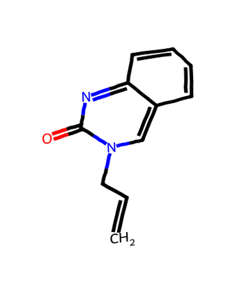 C=CCn1cc2ccccc2nc1=O